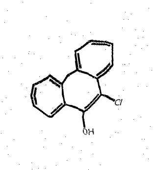 Oc1c(Cl)c2ccccc2c2ccccc12